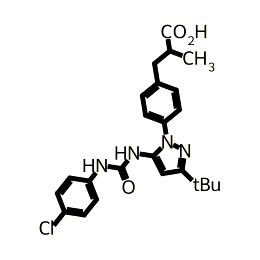 CC(Cc1ccc(-n2nc(C(C)(C)C)cc2NC(=O)Nc2ccc(Cl)cc2)cc1)C(=O)O